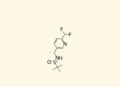 C[C@@H](N[S@@+]([O-])C(C)(C)C)c1ccc(C(F)F)nc1